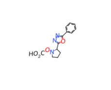 O=C(O)ON1CCCC1c1nnc(-c2ccccc2)o1